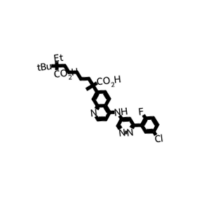 CCC(CCCCCC(C)(C(=O)O)c1ccc2c(Nc3cnnc(-c4cc(Cl)ccc4F)c3)ccnc2c1)(C(=O)O)C(C)(C)C